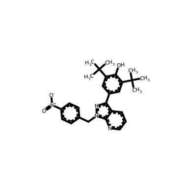 CC(C)(C)c1cc(-c2nn(Cc3ccc([N+](=O)[O-])cc3)c3ncccc23)cc(C(C)(C)C)c1O